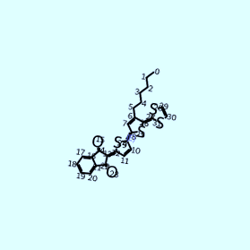 CCCCCCc1c/c(=c2/ccc(=C3C(=O)c4ccccc4C3=O)s2)sc1=C1SC=CS1